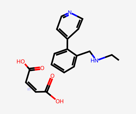 CCNCc1ccccc1-c1ccncc1.O=C(O)/C=C\C(=O)O